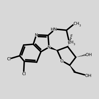 CC(C)Nc1nc2cc(Cl)c(Cl)cc2n1[C@@H]1O[C@H](CO)[C@@H](O)[C@H]1F